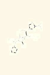 CC(=O)N(c1cccs1)C1C(=O)N2C(C(=O)O)=C(c3cnc(N(C)C)s3)CSC12